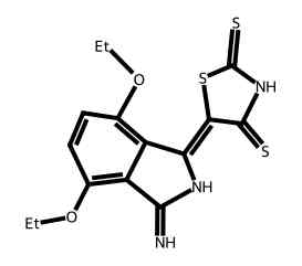 CCOc1ccc(OCC)c2c1C(=N)NC2=C1SC(=S)NC1=S